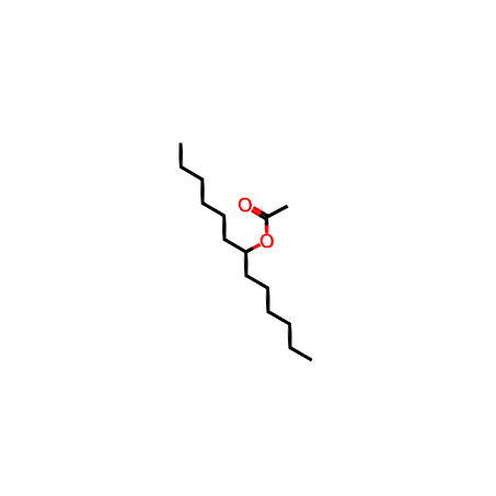 CCCCCCC(CCCCCC)OC(C)=O